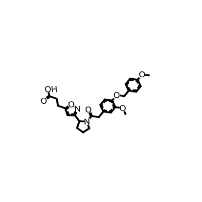 COc1ccc(COc2ccc(CC(=O)N3CCCC3c3cc(CCC(=O)O)on3)cc2OC)cc1